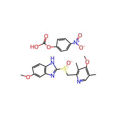 COc1ccc2[nH]c([S+]([O-])Cc3ncc(C)c(OC)c3C)nc2c1.O=C(O)Oc1ccc([N+](=O)[O-])cc1